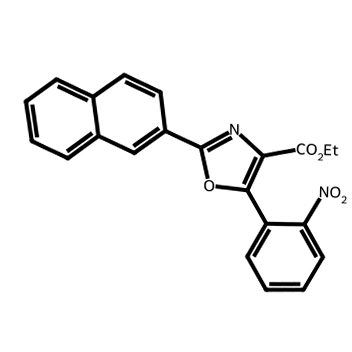 CCOC(=O)c1nc(-c2ccc3ccccc3c2)oc1-c1ccccc1[N+](=O)[O-]